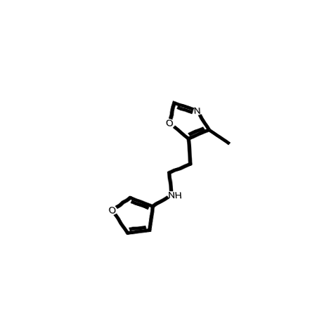 Cc1ncoc1CCNc1ccoc1